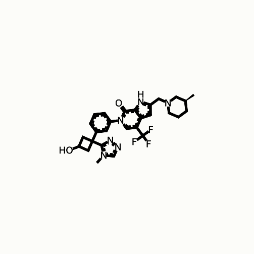 C[C@H]1CCCN(Cc2cc3c(C(F)(F)F)cn(-c4cccc(C5(c6nncn6C)CC(O)C5)c4)c(=O)c3[nH]2)C1